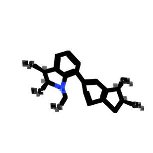 CCN1c2c(-c3ccc4c(c3)[C@@H](C)[C@@H](C)C4)cccc2[C@H](C)[C@@H]1C